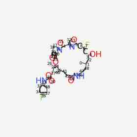 CC1=C\[C@@H](O)C[C@@H](F)Cc2nc(co2)C(=O)N2CCC[C@@H]2C(=O)O[C@H]([C@@H](C)COC(=O)Nc2ccc(F)cc2)[C@H](C)/C=C/C(=O)NC\C=C\1